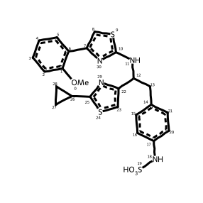 COc1ccccc1-c1csc(NC(Cc2ccc(NS(=O)(=O)O)cc2)c2csc(C3CC3)n2)n1